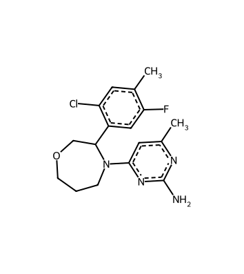 Cc1cc(N2CCCOCC2c2cc(F)c(C)cc2Cl)nc(N)n1